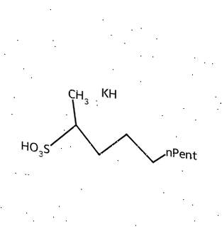 CCCCCCCCC(C)S(=O)(=O)O.[KH]